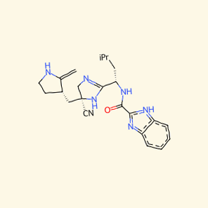 C=C1NCC[C@H]1C[C@@]1(C#N)CN=C([C@H](CC(C)C)NC(=O)c2nc3ccccc3[nH]2)N1